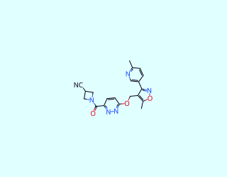 Cc1ccc(-c2noc(C)c2COc2ccc(C(=O)N3CC(C#N)C3)nn2)cn1